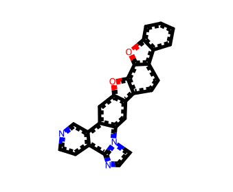 c1ccc2c(c1)oc1c2ccc2c3cc4c(cc3oc21)c1cnccc1c1nccn41